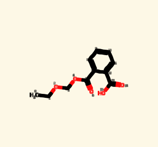 CCOCOC(=O)c1ccccc1C(=O)O